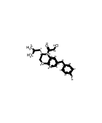 CC(C)C[C@H]1COc2ncc(Cc3ccc(F)cc3)cc2N1C(=O)CCl